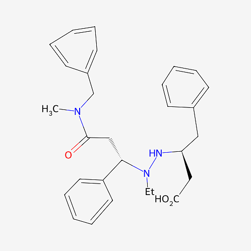 CCN(N[C@H](CC(=O)O)Cc1ccccc1)[C@@H](CC(=O)N(C)Cc1ccccc1)c1ccccc1